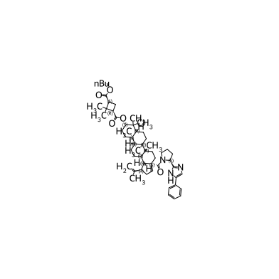 C=C(C)[C@@H]1CC[C@]2(C(=O)N3CCC[C@H]3c3ncc(-c4ccccc4)[nH]3)CC[C@]3(C)[C@H](CC[C@@H]4[C@@]5(C)CC[C@H](OC(=O)[C@@H]6C[C@H](C(=O)OCCCC)C6(C)C)C(C)(C)[C@@H]5CC[C@]43C)[C@@H]12